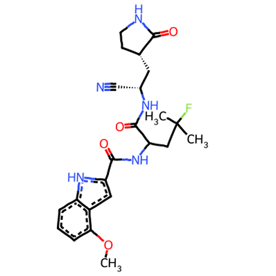 COc1cccc2[nH]c(C(=O)NC(CC(C)(C)F)C(=O)N[C@H](C#N)C[C@@H]3CCNC3=O)cc12